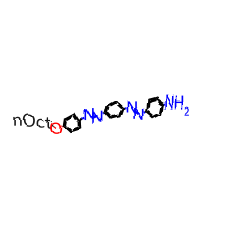 CCCCCCCCOc1ccc(N=Nc2ccc(N=Nc3ccc(N)cc3)cc2)cc1